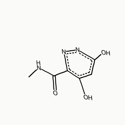 CNC(=O)c1nnc(O)cc1O